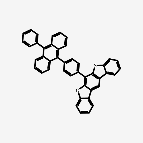 c1ccc(-c2c3ccccc3c(-c3ccc(-c4c5oc6ccccc6c5cc5c4sc4ccccc45)cc3)c3ccccc23)cc1